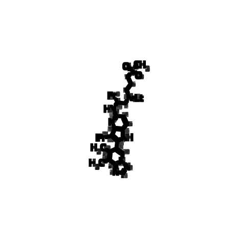 CC[C@@H](CN(CC)CCCS(C)(=O)=O)Nc1ccc2[nH]c(-c3cn4ncnc4c(C)c3C)c(C(C)C)c2n1